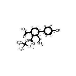 CC(C)(C)OC(=O)c1c(C(=O)O)ccc(-c2ccc(Cl)cc2)c1CN